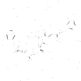 CNN(C(=O)/C=C/C(=O)NCc1ccccc1)C(=O)NC(=O)[C@H](C)NC(=O)[C@H](C)NC(=O)OCc1ccccc1